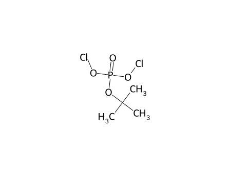 CC(C)(C)OP(=O)(OCl)OCl